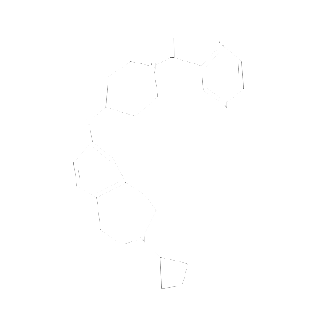 O=C(c1cnccn1)N1CCC(Oc2ccc3c(c2)CCN(C2CCC2)CC3)CC1